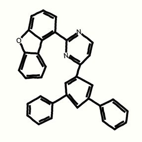 c1ccc(-c2cc(-c3ccccc3)cc(-c3ccnc(-c4cccc5oc6ccccc6c45)n3)c2)cc1